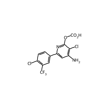 Nc1cc(-c2ccc(Cl)c(C(F)(F)F)c2)nc(OC(=O)O)c1Cl